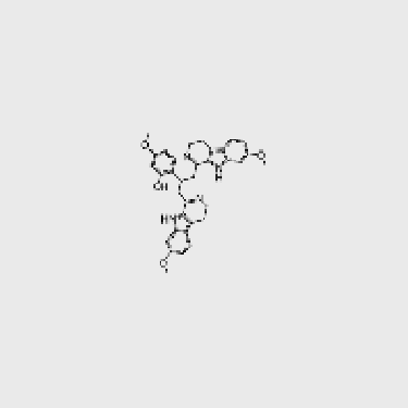 COc1ccc(C(CC2=NCCc3c2[nH]c2cc(OC)ccc32)CC2=NCCc3c2[nH]c2cc(OC)ccc32)c(O)c1